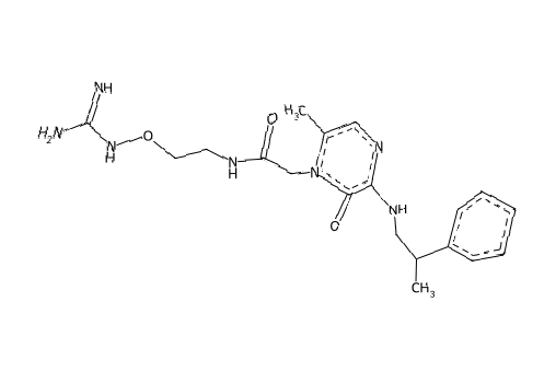 Cc1cnc(NCC(C)c2ccccc2)c(=O)n1CC(=O)NCCONC(=N)N